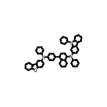 c1ccc(N(c2ccc(-c3ccc(N(c4ccccc4)c4ccc5c6ccccc6n(-c6ccccc6)c5c4)c4ccccc34)cc2)c2ccc3oc4ccccc4c3c2)cc1